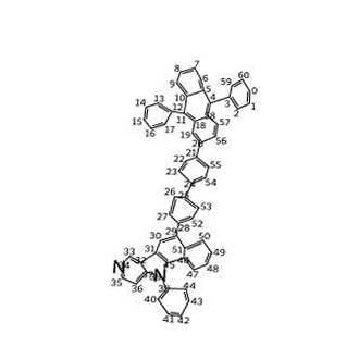 c1ccc(-c2c3ccccc3c(-c3ccccc3)c3cc(-c4ccc(-c5ccc(-c6cc7c8cnccc8n(-c8ccccc8)c7c7ccccc67)cc5)cc4)ccc23)cc1